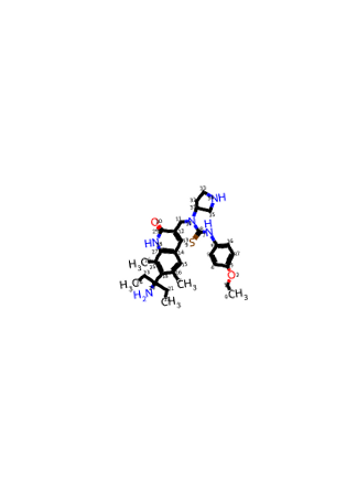 CCOc1ccc(NC(=S)N(Cc2cc3cc(C)c(C(N)(CC)CC)c(C)c3[nH]c2=O)C2CCNC2)cc1